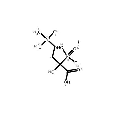 C[N+](C)(C)CCC(O)(C(=O)O)P(=O)(O)O.[I-]